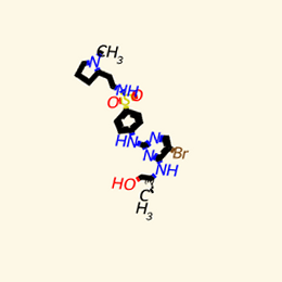 CC[C@H](CO)Nc1nc(Nc2ccc(S(=O)(=O)NCCC3CCCN3C)cc2)ncc1Br